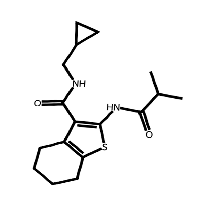 CC(C)C(=O)Nc1sc2c(c1C(=O)NCC1CC1)CCCC2